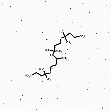 CC(CCOC(C)(C)CCC(=O)O)NC(C)(C)CCOC(C)(C)CCC(=O)O